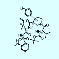 C=C[C@@H]1C[C@]1(NC(=O)[C@@H]1CN(C(=O)[C@@H](NC(=O)OC(C)(C)C)C(C)C)CC[C@H]1c1ccc(Cl)cc1)C(=O)NS(=O)(=O)c1ccccc1NC